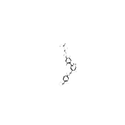 CC(=O)OCCOc1ccc(-c2cc(COc3ccc(C=O)cc3)ccn2)c(C)c1